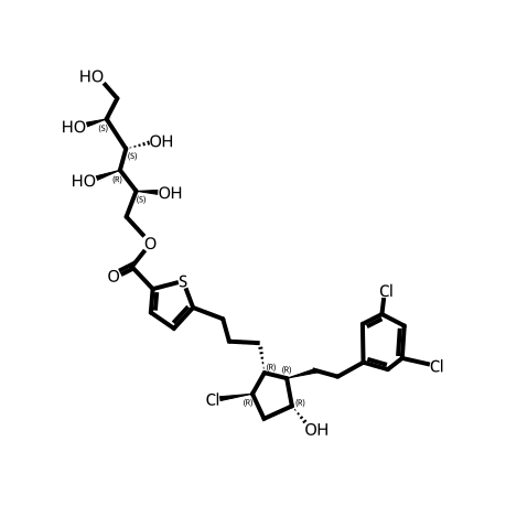 O=C(OC[C@H](O)[C@@H](O)[C@@H](O)[C@@H](O)CO)c1ccc(CCC[C@@H]2[C@@H](CCc3cc(Cl)cc(Cl)c3)[C@H](O)C[C@H]2Cl)s1